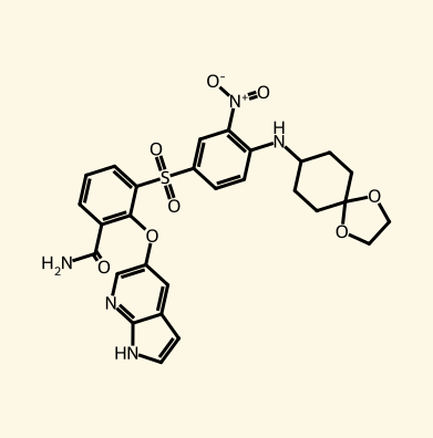 NC(=O)c1cccc(S(=O)(=O)c2ccc(NC3CCC4(CC3)OCCO4)c([N+](=O)[O-])c2)c1Oc1cnc2[nH]ccc2c1